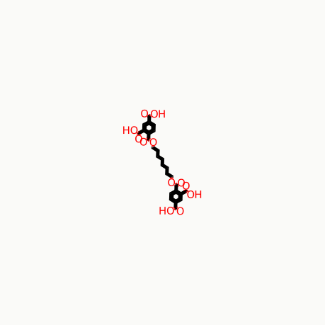 O=C(O)c1ccc(C(=O)OCCCCCCCCOC(=O)c2ccc(C(=O)O)cc2C(=O)O)c(C(=O)O)c1